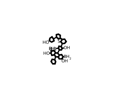 Bc1cc2c(-c3cc(O)c(-c4cccc5c4sc4c(-c6ccc(O)cc6)cccc45)cc3B)c3cc(B)c(O)cc3c(-c3ccccc3)c2cc1O